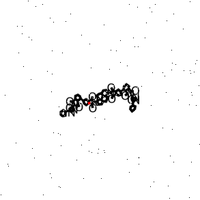 O=C1c2cccc(-c3ccc4c(c3)C(=O)N(c3ccc5ccc6c(N7C(=O)c8ccc(-c9cccc%10c9C(=O)N(c9nnc(-c%11ccccc%11)o9)C%10=O)cc8C7=O)ccc7ccc3c5c76)C4=O)c2C(=O)N1c1nnc(-c2ccccc2)o1